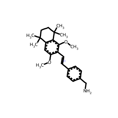 COc1cc2c(c(OC)c1/C=C/c1ccc(CN)cc1)C(C)(C)CCC2(C)C